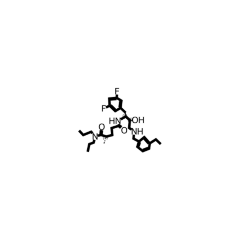 CCCN(CCC)C(=O)[C@@H](C)CCC(=O)N[C@@H](Cc1cc(F)cc(F)c1)[C@H](O)CNCc1cccc(CC)c1